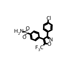 NS(=O)(=O)c1ccc(-c2c(-c3ccc(Cl)cc3)noc2C(F)(F)F)cc1